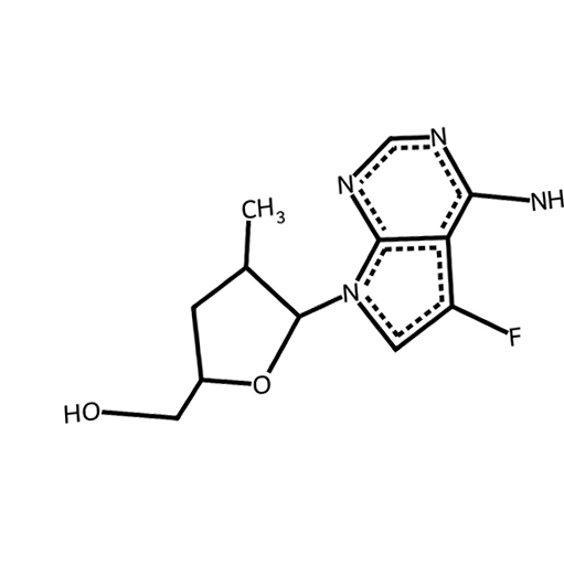 CC1CC(CO)OC1n1cc(F)c2c(N)ncnc21